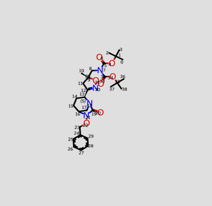 CC(C)(C)OC(=O)N(C[C@@]1(C)CC([C@@H]2CCC3CN2C(=O)N3OCc2ccccc2)=NO1)C(=O)OC(C)(C)C